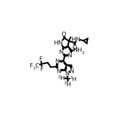 [2H]C([2H])([2H])n1ncc2c(-c3nc(N)c4c(n3)NC(=O)C4(C)C(=O)NC3CC3)nc(CCC(F)(F)C(F)(F)F)nc21